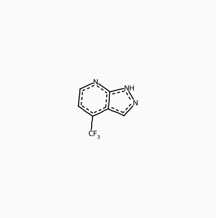 FC(F)(F)c1ccnc2[nH]ncc12